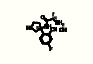 C[C@H](N)C(=O)N[C@]1(c2ccc(F)cc2C#N)CCNC1.Cl